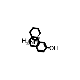 Oc1ccc2c(c1)[C@@]13CCCCC1[C@H](C2)NCC3